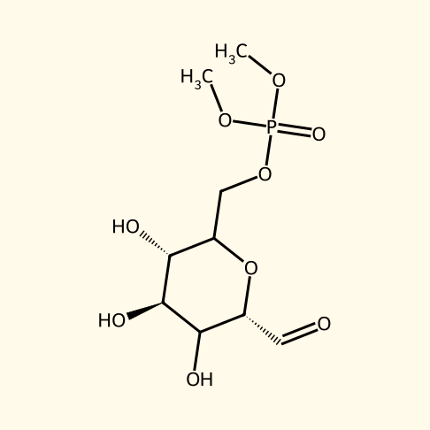 COP(=O)(OC)OCC1O[C@H](C=O)C(O)[C@@H](O)[C@@H]1O